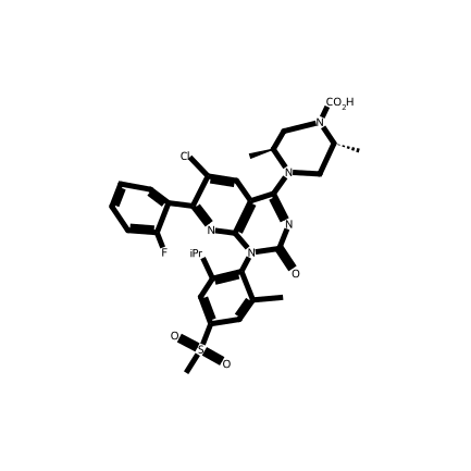 Cc1cc(S(C)(=O)=O)cc(C(C)C)c1-n1c(=O)nc(N2C[C@@H](C)N(C(=O)O)C[C@@H]2C)c2cc(Cl)c(-c3ccccc3F)nc21